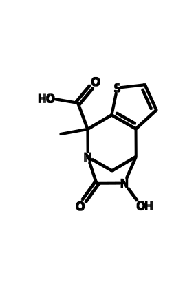 CC1(C(=O)O)c2sccc2C2CN1C(=O)N2O